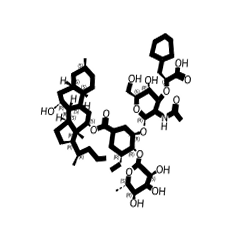 CCC[C@@H](C)[C@H]1CC[C@H]2[C@@H]3[C@H](O)C[C@@H]4C[C@@H](C)CC[C@]4(C)[C@H]3C[C@H](OC(=O)C3C[C@@H](CC)[C@@H](OC4O[C@@H](C)[C@H](O)C(O)[C@@H]4O)[C@H](O[C@@H]4O[C@@H](CO)[C@H](O)C(O[C@@H](CC5CCCCC5)C(=O)O)C4NC(C)=O)C3)[C@]12C